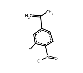 C=C(C)c1ccc([N+](=O)[O-])c(F)c1